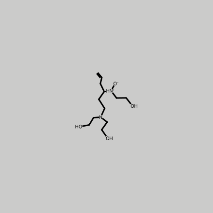 C=CCC(CCN(CCO)CCO)[NH+]([O-])CCO